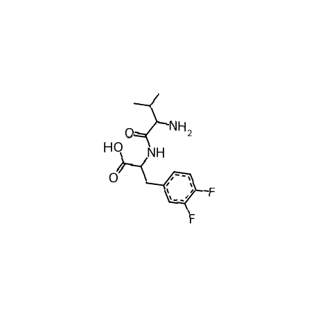 CC(C)C(N)C(=O)NC(Cc1ccc(F)c(F)c1)C(=O)O